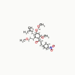 COCCCc1c(CC=C(C)C)c(OCOC)cc(OC)c1C(=O)/C=C/c1ccc([N+](=O)[O-])cc1